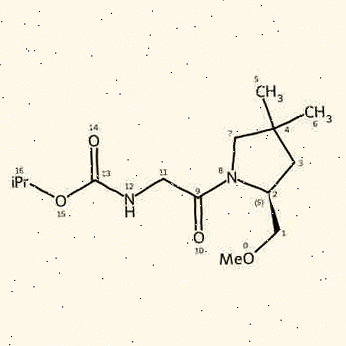 COC[C@@H]1CC(C)(C)CN1C(=O)CNC(=O)OC(C)C